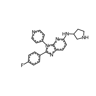 Fc1ccc(-c2nc3ccc(NC4CCNC4)nc3n2-c2ccncc2)cc1